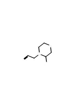 C=CCN1CCNCC1Cl